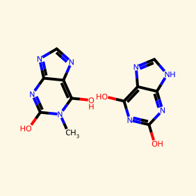 Cn1c(O)nc2ncnc-2c1O.Oc1nc(O)c2nc[nH]c2n1